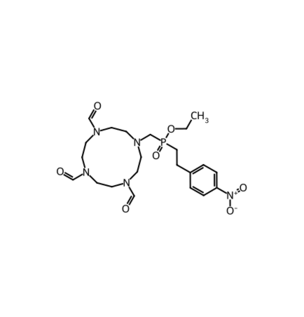 CCOP(=O)(CCc1ccc([N+](=O)[O-])cc1)CN1CCN(C=O)CCN(C=O)CCN(C=O)CC1